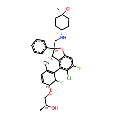 C[C@H](O)CO[C@H]1C=CC(C#N)=C(c2c(Cl)c(F)cc3c2[C@H](C)[C@@](CN[C@H]2CC[C@](C)(O)CC2)(c2ccccc2)O3)C1F